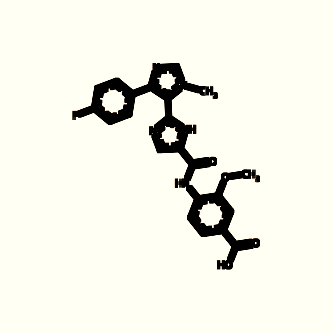 COc1cc(C(=O)O)ccc1NC(=O)c1cnc(-c2c(-c3ccc(F)cc3)ncn2C)[nH]1